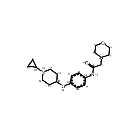 O=C(CN1CCOCC1)Nc1ccc(OC2CCN(C3CC3)CC2)cc1